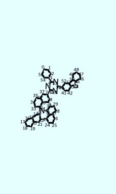 c1ccc(-c2nc(-c3ccc4c(N5c6cc7ccccc7cc6-c6cccc7cccc5c67)cccc4c3)nc(-c3ccc4sc5ccccc5c4c3)n2)cc1